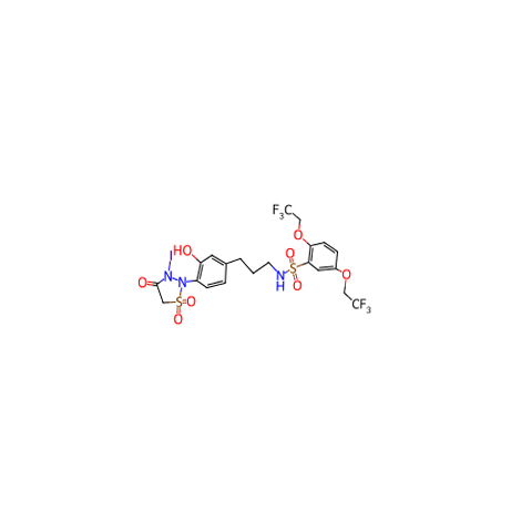 O=C1CS(=O)(=O)N(c2ccc(CCCNS(=O)(=O)c3cc(OCC(F)(F)F)ccc3OCC(F)(F)F)cc2O)N1I